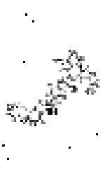 CN(C)C(=O)C1CCN(c2ccnc3c2c(/C=C2\Oc4ccc(NC(=O)Nc5ccc(OC6CCOCC6)nc5)cc4C2=O)cn3C)CC1